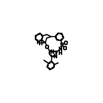 Cc1cccc(C)c1-c1cc2nc(n1)NS(=O)(=O)c1cccc(c1)C1Cc3cccnc3[C@H](C1)O2